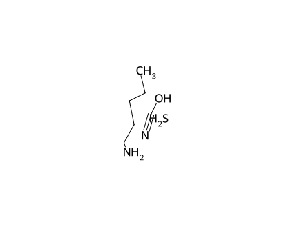 CCCCCN.N#CO.S